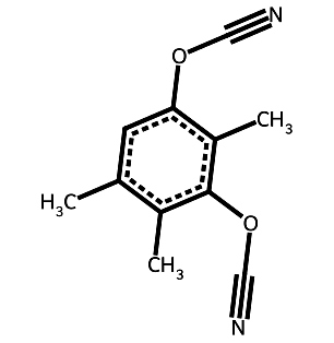 Cc1cc(OC#N)c(C)c(OC#N)c1C